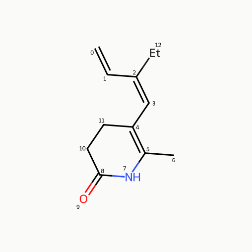 C=C/C(=C\C1=C(C)NC(=O)CC1)CC